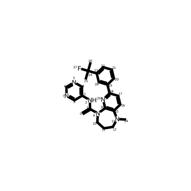 C=C(Nc1cncnc1)N1CCCN(C)c2ccc(-c3cccc(C(C)(C)F)c3)nc21